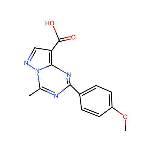 COc1ccc(-c2nc(C)n3ncc(C(=O)O)c3n2)cc1